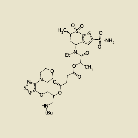 CCN(C(=O)C(C)OC(=O)CCC(=O)OC(CNC(C)(C)C)COc1nsnc1N1CCOCC1)[C@@H]1C[C@@H](C)S(=O)(=O)c2sc(S(N)(=O)=O)cc21